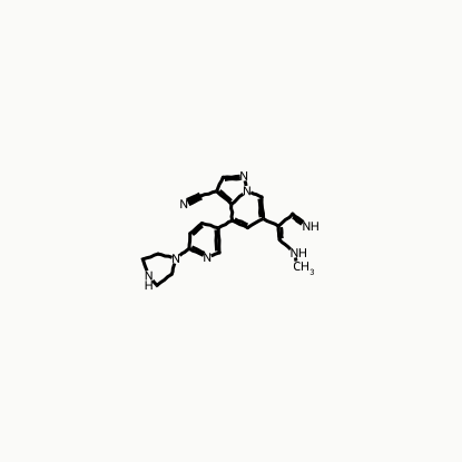 CN/C=C(\C=N)c1cc(-c2ccc(N3CCNCC3)nc2)c2c(C#N)cnn2c1